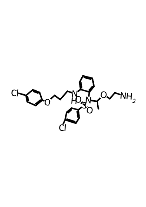 CC(OCCN)N(c1ccccc1NCCCOc1ccc(Cl)cc1)S(=O)(=O)c1ccc(Cl)cc1